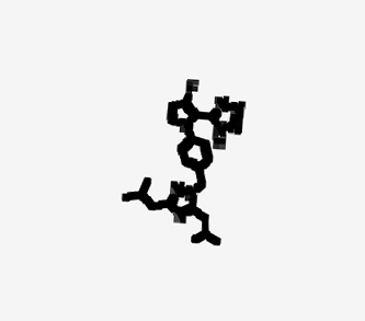 CC(C)Cc1nc(CC(C)C)n(Cc2ccc(-n3ccc(F)c3-c3nnn[nH]3)cc2)n1